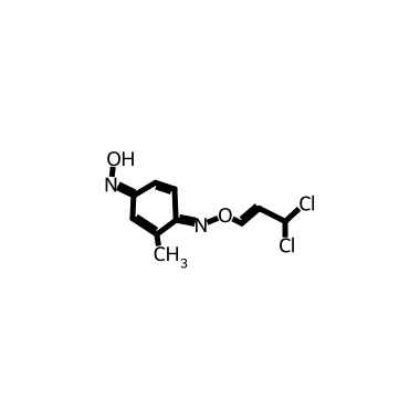 CC1=CC(=NO)C=CC1=NOC=CC(Cl)Cl